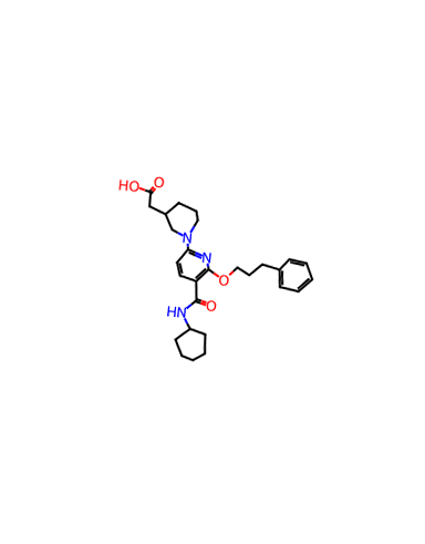 O=C(O)CC1CCCN(c2ccc(C(=O)NC3CCCCC3)c(OCCCc3ccccc3)n2)C1